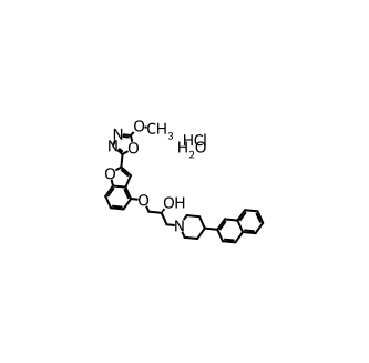 COc1nnc(-c2cc3c(OC[C@@H](O)CN4CCC(c5ccc6ccccc6c5)CC4)cccc3o2)o1.Cl.O